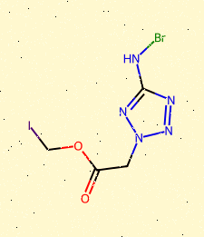 O=C(Cn1nnc(NBr)n1)OCI